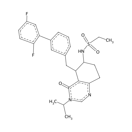 CCS(=O)(=O)NC1CCc2ncn(C(C)C)c(=O)c2C1Cc1cccc(-c2cc(F)ccc2F)c1